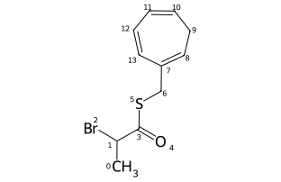 CC(Br)C(=O)SCC1=CCC=CC=C1